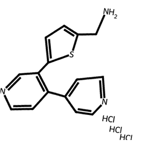 Cl.Cl.Cl.NCc1ccc(-c2cnccc2-c2ccncc2)s1